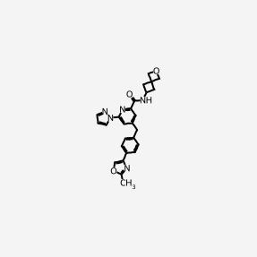 Cc1nc(-c2ccc(Cc3cc(C(=O)NC4CC5(COC5)C4)nc(-n4cccn4)c3)cc2)co1